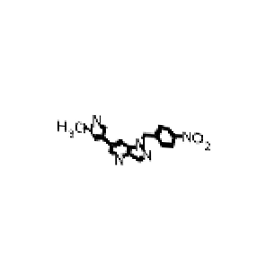 Cn1cc(-c2cnc3cnn(Cc4ccc([N+](=O)[O-])cc4)c3c2)cn1